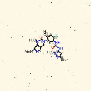 CNc1cc2c(cn1)CN(c1cc(NC(=O)Nc3cc(C(C)(C)C)nn3C)c(F)cc1C)C(=O)N2C